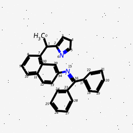 CC(C1=CCC=N1)c1cccc2ccc(N=C(c3ccccc3)c3ccccc3)cc12